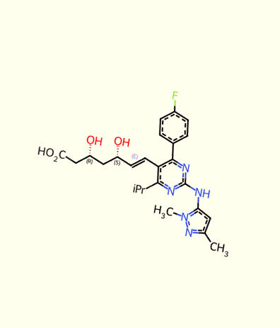 Cc1cc(Nc2nc(-c3ccc(F)cc3)c(/C=C/[C@@H](O)C[C@@H](O)CC(=O)O)c(C(C)C)n2)n(C)n1